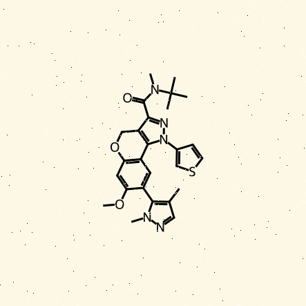 COc1cc2c(cc1-c1c(C)cnn1C)-c1c(c(C(=O)N(C)C(C)(C)C)nn1-c1ccsc1)CO2